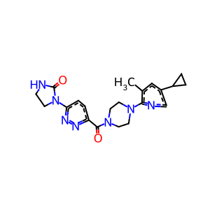 Cc1cc(C2CC2)cnc1N1CCN(C(=O)c2ccc(N3CCNC3=O)nn2)CC1